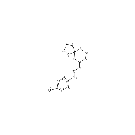 Cc1ccc(SOCC2CCCC3(C2)OCCO3)cc1